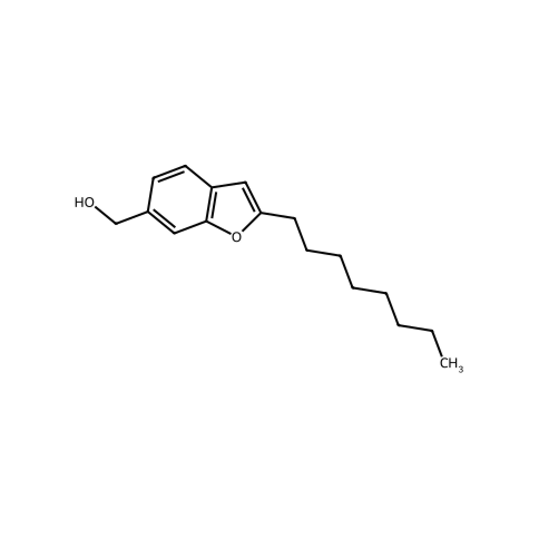 CCCCCCCCc1cc2ccc(CO)cc2o1